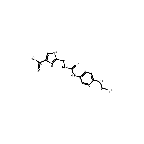 CCOc1ccc(NC(=O)NCc2nc(C(=O)O)cs2)cc1